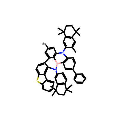 Cc1cc2c(cc1N1c3ccc(-c4ccccc4)cc3B3c4c(cc(C(C)(C)C)cc41)-c1ccc4sc5ccccc5c4c1N3c1ccc3c(c1)C(C)(C)CCC3(C)C)C(C)(C)CCC2(C)C